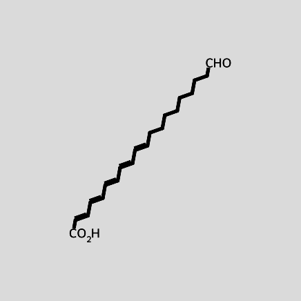 O=CCCCCCCCCC=CC=CC=CC=CC=CC(=O)O